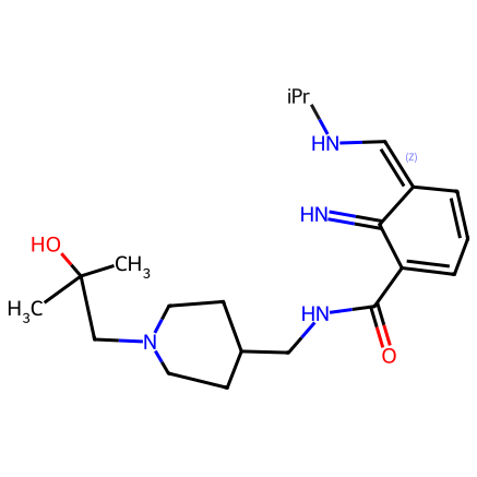 CC(C)N/C=C1/C=CC=C(C(=O)NCC2CCN(CC(C)(C)O)CC2)C1=N